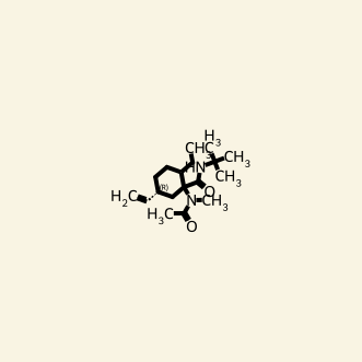 C=C[C@@H]1CCC(CC)C(C(=O)NC(C)(C)C)(N(C)C(C)=O)C1